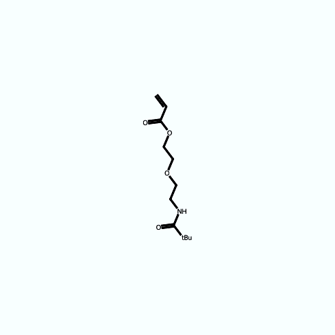 C=CC(=O)OCCOCCNC(=O)C(C)(C)C